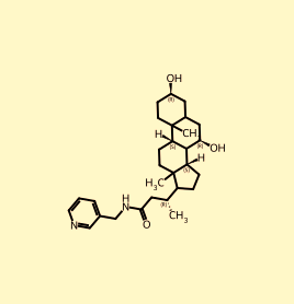 C[C@H](CC(=O)NCc1cccnc1)C1CC[C@H]2C3[C@H](O)CC4C[C@H](O)CCC4(C)[C@H]3CCC12C